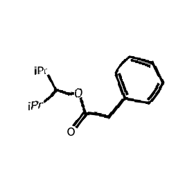 CC(C)C(OC(=O)Cc1ccccc1)C(C)C